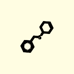 C1=CCC(SCc2ccccc2)CC1